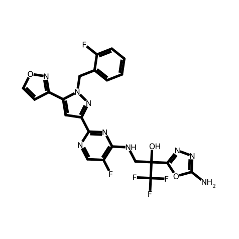 Nc1nnc(C(O)(CNc2nc(-c3cc(-c4ccon4)n(Cc4ccccc4F)n3)ncc2F)C(F)(F)F)o1